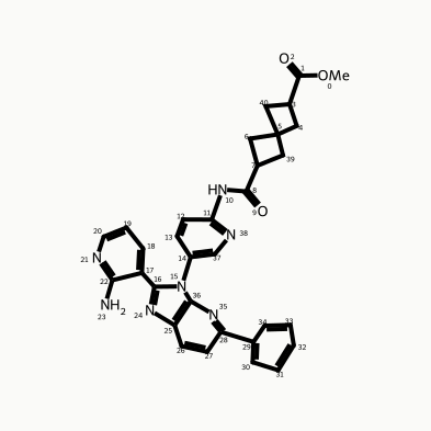 COC(=O)C1CC2(CC(C(=O)Nc3ccc(-n4c(-c5cccnc5N)nc5ccc(-c6ccccc6)nc54)cn3)C2)C1